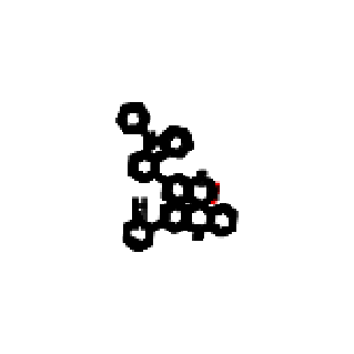 C1=CCNC(c2ccc3c(c2)Sc2ccccc2C32c3ccccc3Sc3cc(-c4cccc5c4c4ccccc4n5-c4ccccc4)ccc32)=C1